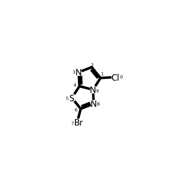 Clc1cnc2sc(Br)nn12